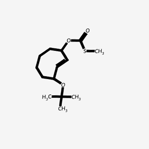 CSC(=O)OC1/C=C/C(OC(C)(C)C)CCCC1